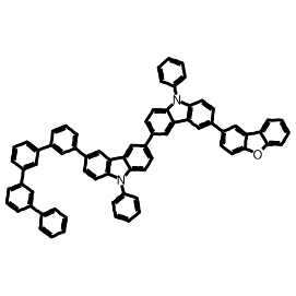 c1ccc(-c2cccc(-c3cccc(-c4cccc(-c5ccc6c(c5)c5cc(-c7ccc8c(c7)c7cc(-c9ccc%10oc%11ccccc%11c%10c9)ccc7n8-c7ccccc7)ccc5n6-c5ccccc5)c4)c3)c2)cc1